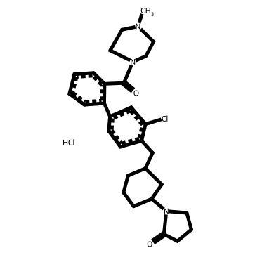 CN1CCN(C(=O)c2ccccc2-c2ccc(CC3CCCC(N4CCCC4=O)C3)c(Cl)c2)CC1.Cl